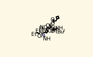 CCC(CC)C(=O)N/C(=N/C=N)c1ccc([C@]2(C#N)O[C@H](COC(=O)CC3CCC3)[C@@H](OC(=O)[C@H](N)C(C)(C)C)[C@H]2O)[nH]1